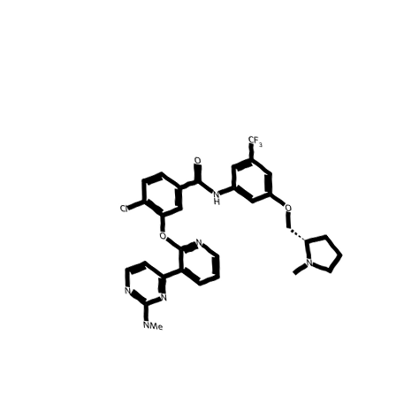 CNc1nccc(-c2cccnc2Oc2cc(C(=O)Nc3cc(OC[C@@H]4CCCN4C)cc(C(F)(F)F)c3)ccc2Cl)n1